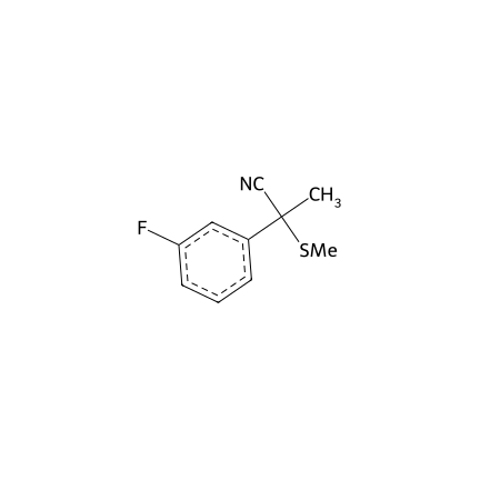 CSC(C)(C#N)c1cccc(F)c1